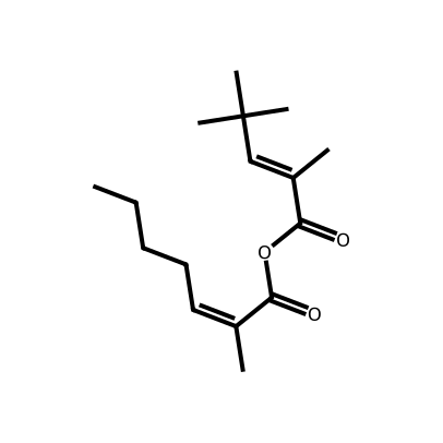 CCCCC=C(C)C(=O)OC(=O)C(C)=CC(C)(C)C